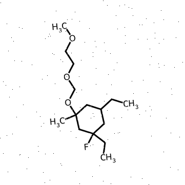 CCC1CC(F)(CC)CC(C)(OCOCCOC)C1